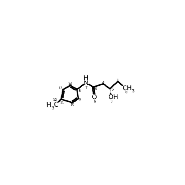 CC[C@H](O)CC(=O)Nc1ccc(C)cc1